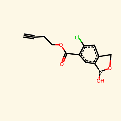 C#CCCOC(=O)c1cc2c(cc1Cl)COB2O